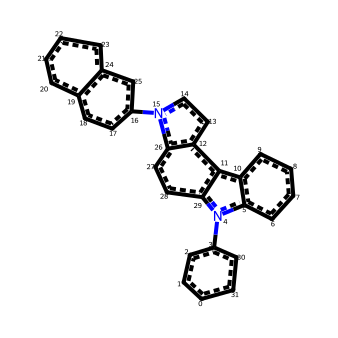 c1ccc(-n2c3ccccc3c3c4ccn(-c5ccc6ccccc6c5)c4ccc32)cc1